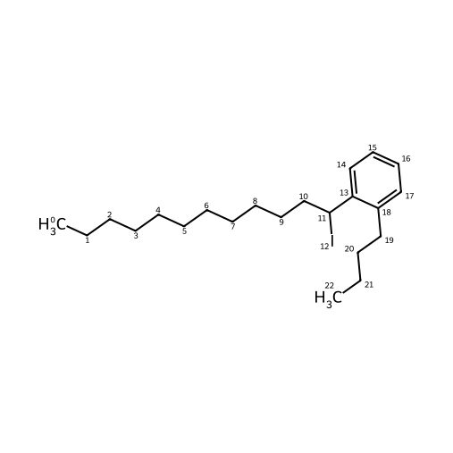 CCCCCCCCCCCC(I)c1ccccc1CCCC